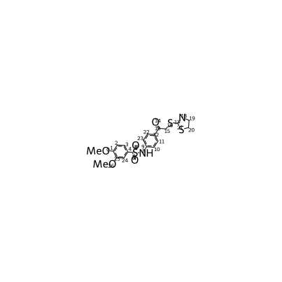 COc1ccc(S(=O)(=O)Nc2ccc(C(=O)CSC3=NCCS3)cc2)cc1OC